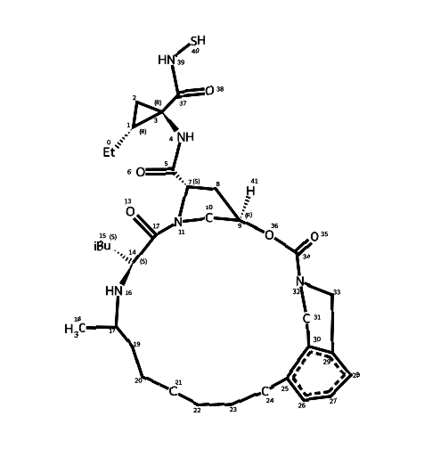 CC[C@@H]1C[C@]1(NC(=O)[C@@H]1C[C@@H]2CN1C(=O)[C@H]([C@@H](C)CC)NC(C)CCCCCCc1cccc3c1CN(C3)C(=O)O2)C(=O)NS